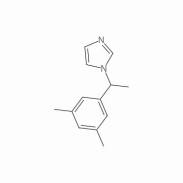 Cc1cc(C)cc(C(C)n2ccnc2)c1